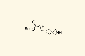 CC(C)(C)OC(=O)NCC1CC2(CNC2)C1